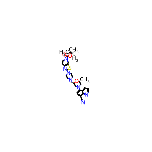 C[C@@H]1CN(c2ccc(C#N)c3ncccc23)C[C@H](CN2CCN(c3nc4c(s3)CN(C(=O)OC(C)(C)C)CC4)CC2)O1